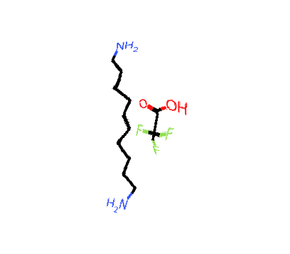 NCCCCCCCCCCN.O=C(O)C(F)(F)F